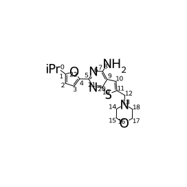 CC(C)c1ccc(-c2nc(N)c3cc(CN4CCOCC4)sc3n2)o1